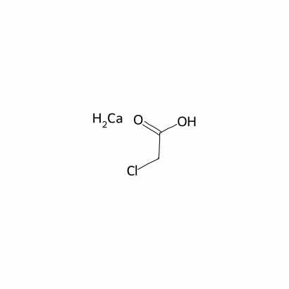 O=C(O)CCl.[CaH2]